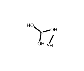 CS.OB(O)O